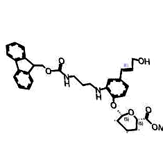 COC(=O)[C@@H]1[CH][CH][CH][C@H](Oc2ccc(/C=C/CO)cc2NCCCNC(=O)OCC2c3ccccc3-c3ccccc32)O1